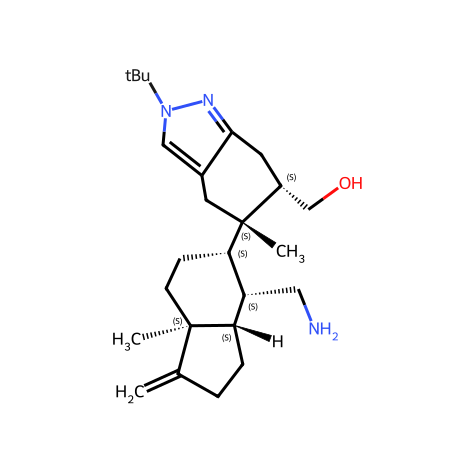 C=C1CC[C@H]2[C@@H](CN)[C@@H]([C@]3(C)Cc4cn(C(C)(C)C)nc4C[C@@H]3CO)CC[C@]12C